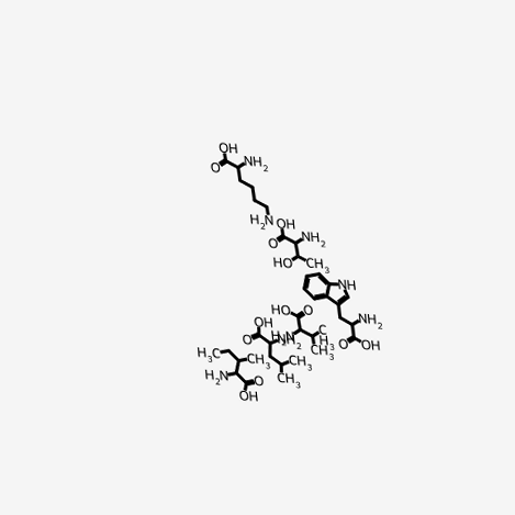 CC(C)C(N)C(=O)O.CC(C)CC(N)C(=O)O.CC(O)C(N)C(=O)O.CCC(C)C(N)C(=O)O.NC(Cc1c[nH]c2ccccc12)C(=O)O.NCCCCC(N)C(=O)O